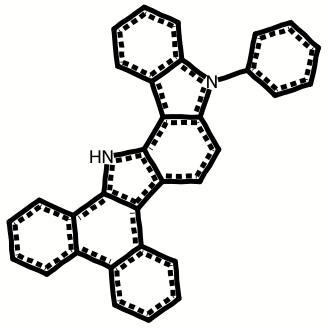 c1ccc(-n2c3ccccc3c3c4[nH]c5c6ccccc6c6ccccc6c5c4ccc32)cc1